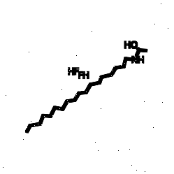 CCCCCCCCCCCCCCCCCCNC(C)O.F.F